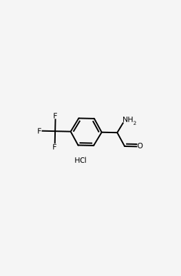 Cl.NC(C=O)c1ccc(C(F)(F)F)cc1